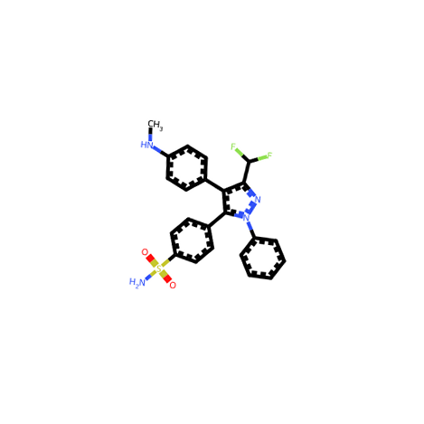 CNc1ccc(-c2c(C(F)F)nn(-c3ccccc3)c2-c2ccc(S(N)(=O)=O)cc2)cc1